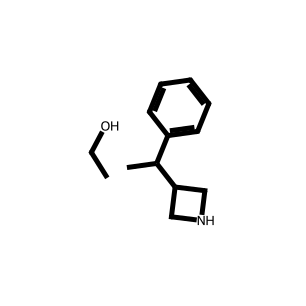 CC(c1ccccc1)C1CNC1.CCO